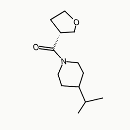 CC(C)C1CCN(C(=O)[C@@H]2CCOC2)CC1